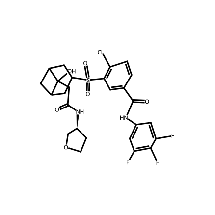 O=C(CC1(O)C2CC1CC(S(=O)(=O)c1cc(C(=O)Nc3cc(F)c(F)c(F)c3)ccc1Cl)C2)N[C@H]1CCOC1